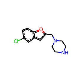 Clc1ccc2oc(CN3CCNCC3)cc2c1